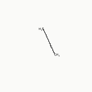 CCCCCCCCCCCCCCCCCCC[CH]SCCCCCCCCC